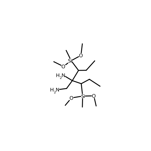 CCC(C(N)(CN)C(CC)[Si](C)(OC)OC)[Si](C)(OC)OC